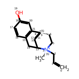 C=CC[N@+]1(C)CC[C@@]23CCCCC2C1Cc1ccc(O)cc13